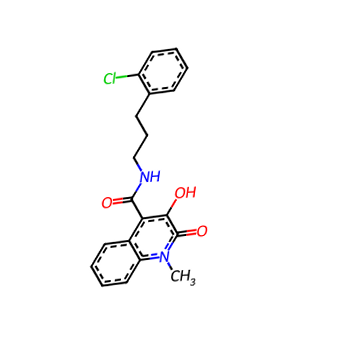 Cn1c(=O)c(O)c(C(=O)NCCCc2ccccc2Cl)c2ccccc21